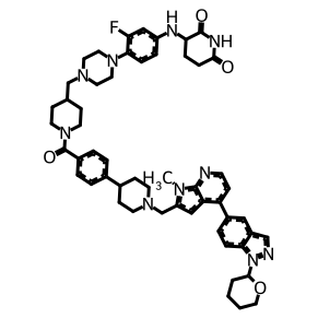 Cn1c(CN2CCC(c3ccc(C(=O)N4CCC(CN5CCN(c6ccc(NC7CCC(=O)NC7=O)cc6F)CC5)CC4)cc3)CC2)cc2c(-c3ccc4c(cnn4C4CCCCO4)c3)ccnc21